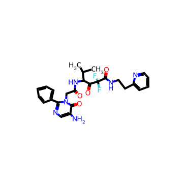 CC(C)C(NC(=O)Cn1c(-c2ccccc2)ncc(N)c1=O)C(=O)C(F)(F)C(=O)NCCc1ccccn1